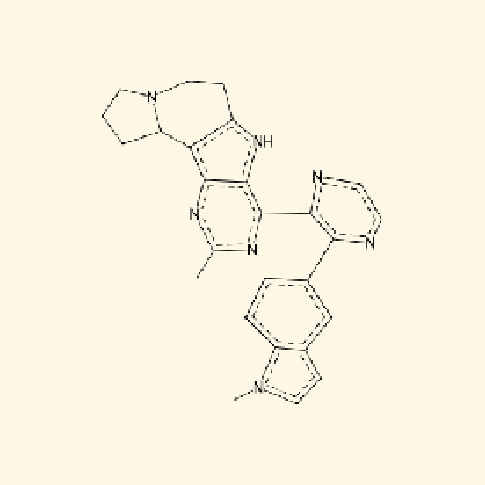 Cc1nc(-c2nccnc2-c2ccc3c(ccn3C)c2)c2[nH]c3c(c2n1)C1CCCN1CC3